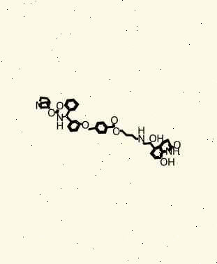 O=C(N[C@@H](c1ccccc1)c1cccc(OCc2ccc(C(=O)OCCCCNC[C@H](O)c3ccc(O)c4[nH]c(=O)ccc34)cc2)c1)OC1CN2CCC1CC2